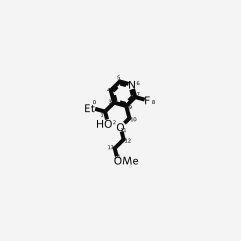 CCC(O)c1ccnc(F)c1COCCOC